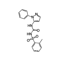 Cc1ccccc1S(=O)(=O)NC(=O)Nc1ccnn1-c1ccccc1